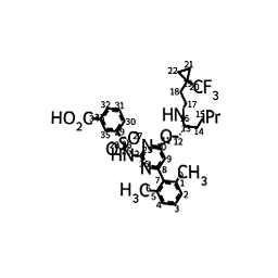 Cc1cccc(C)c1-c1cc(OC[C@@H](CC(C)C)NCCC2(C(F)(F)F)CC2)nc(NS(=O)(=O)c2cccc(C(=O)O)c2)n1